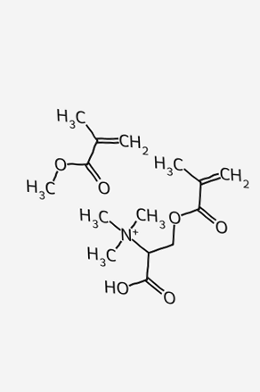 C=C(C)C(=O)OC.C=C(C)C(=O)OCC(C(=O)O)[N+](C)(C)C